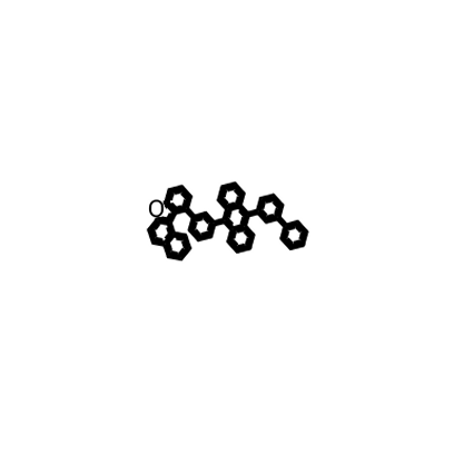 c1ccc(-c2cccc(-c3c4ccccc4c(-c4cccc(-c5cccc6oc7ccc8ccccc8c7c56)c4)c4ccccc34)c2)cc1